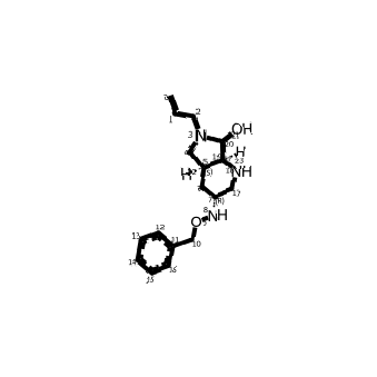 C=CCN1C[C@@H]2C[C@@H](NOCc3ccccc3)CN[C@@H]2C1O